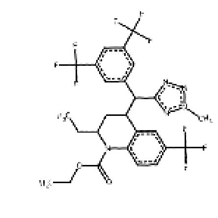 CCOC(=O)N1c2ccc(C(F)(F)F)cc2C(C(c2cc(C(F)(F)F)cc(C(F)(F)F)c2)c2nnn(C)n2)CC1CC